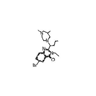 CCC[C@@H](c1nc2ccc(Br)cc2c(=O)n1CC)N1CCN(C)CC(C)C1